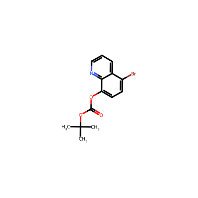 CC(C)(C)OC(=O)Oc1ccc(Br)c2cccnc12